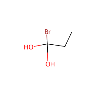 CCC(O)(O)Br